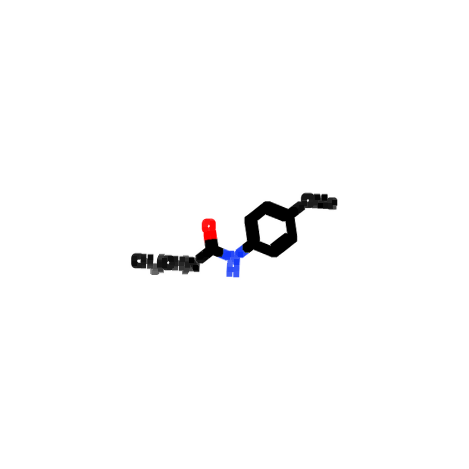 COc1ccc(NC(=O)N(C)O)cc1